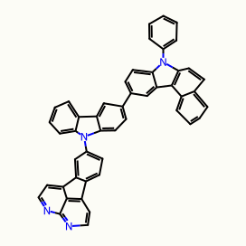 c1ccc(-n2c3ccc(-c4ccc5c(c4)c4ccccc4n5-c4ccc5c(c4)-c4ccnc6nccc-5c46)cc3c3c4ccccc4ccc32)cc1